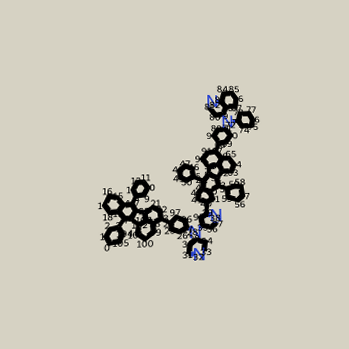 c1ccc(-c2c3c(c(-c4ccccc4)c4ccccc24)-c2ccc(-c4ccc(N(c5ccncc5)c5ccnc(-c6ccc7c(-c8ccccc8)c8c(c(-c9ccccc9)c7c6)-c6cccc7c(-c9ccc(N(c%10ccccc%10)c%10ccnc%11ccccc%10%11)cc9)ccc-8c67)c5)cc4)c4cccc-3c24)cc1